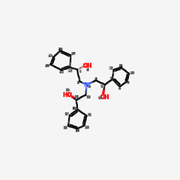 O[C@H](CN(C[C@H](O)c1ccccc1)C[C@H](O)c1ccccc1)c1ccccc1